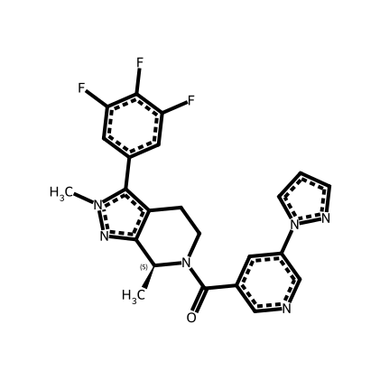 C[C@H]1c2nn(C)c(-c3cc(F)c(F)c(F)c3)c2CCN1C(=O)c1cncc(-n2cccn2)c1